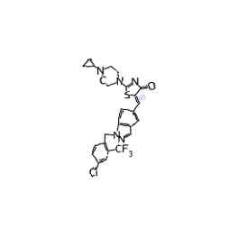 O=C1N=C(N2CCN(C3CC3)CC2)S/C1=C\c1ccc2c(cnn2Cc2ccc(Cl)cc2C(F)(F)F)c1